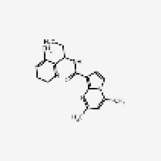 CCC(NC(=O)c1ccn2c(C)cc(C)nc12)C1=NCCC=C1C